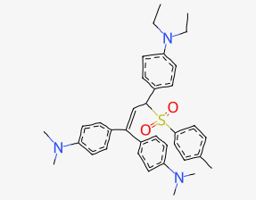 CCN(CC)c1ccc(C(C=C(c2ccc(N(C)C)cc2)c2ccc(N(C)C)cc2)S(=O)(=O)c2ccc(C)cc2)cc1